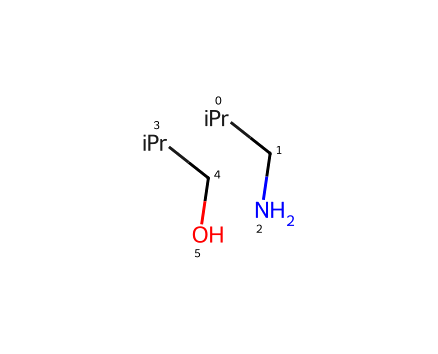 CC(C)CN.CC(C)CO